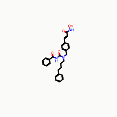 O=C(C=Cc1ccc(CN(CCCCc2ccccc2)C(=O)NC(=O)c2ccccc2)cc1)NO